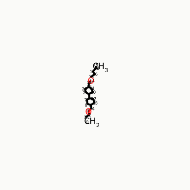 C=CCOCC1CCC(C2CCC(COCCCCC)CC2)CC1